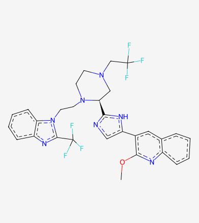 COc1nc2ccccc2cc1-c1cnc([C@@H]2CN(CC(F)(F)F)CCN2CCn2c(C(F)(F)F)nc3ccccc32)[nH]1